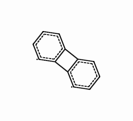 [c]1cccc2c1-c1[c]cccc1-2